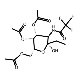 CC[C@@]1(O)O[C@H](COC(C)=O)[C@H](OC(C)=O)[C@H](OC(C)=O)[C@H]1NC(=O)C(F)(F)F